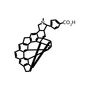 CN1CC2c3cc4c5c6c(cc7ccc8cc9c%10c%11c(cc(c%12c3c5c(c%12%11)c3c6c7c8c%103)C2C1c1ccc(C(=O)O)cc1)C9)C4